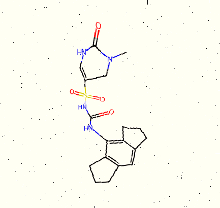 CN1CC(S(=O)(=O)NC(=O)Nc2c3c(cc4c2CCC4)CCC3)=CNC1=O